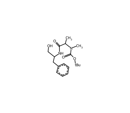 CC(C(=O)NC(CO)Cc1ccccc1)N(C)C(=O)OC(C)(C)C